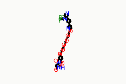 O=C1CCC(N2C(=O)c3ccc(OCCOCCOCCOCCOCCOc4ccc(-c5ccc6c7cnccc7n(CC(F)(F)F)c6c5)cn4)cc3C2=O)C(=O)N1